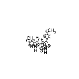 COc1ccc(C=CN2C(=S)NC(=O)C2(CC(=O)Nc2ccc(OC)cn2)c2ccc(F)cc2)cc1